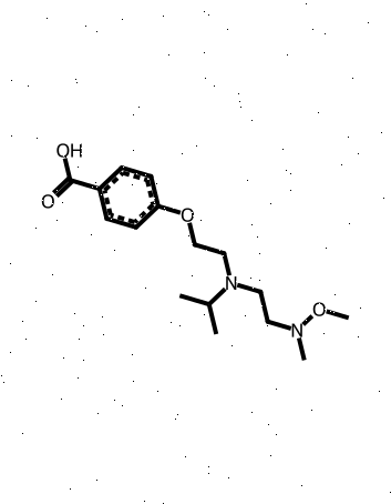 CON(C)CCN(CCOc1ccc(C(=O)O)cc1)C(C)C